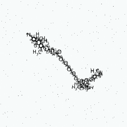 CCc1cc2c(cc1N1CCC(N3CCN(C(=O)CCOCCOCCOCCOCCOCCC(=O)NC(C(=O)N4C[C@H](O)C[C@H]4C(=O)NCc4ccc(-c5scnc5C)cc4)C(C)(C)C)CC3)CC1)C(C)(C)c1[nH]c3cc(C#N)ccc3c1C2=O